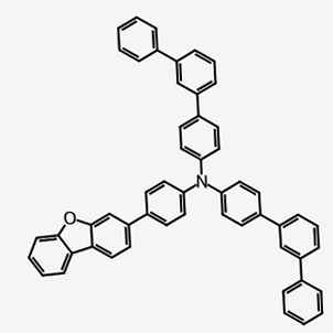 c1ccc(-c2cccc(-c3ccc(N(c4ccc(-c5cccc(-c6ccccc6)c5)cc4)c4ccc(-c5ccc6c(c5)oc5ccccc56)cc4)cc3)c2)cc1